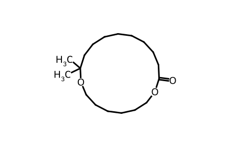 CC1(C)CCCCCCCCC(=O)OCCCCCCO1